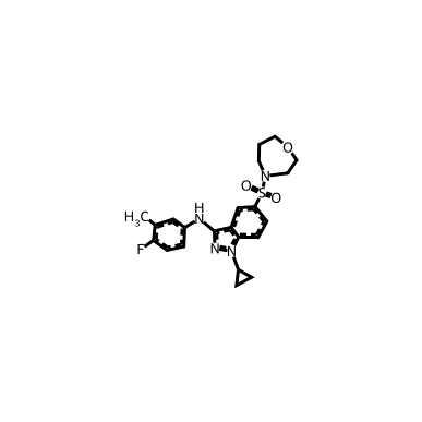 Cc1cc(Nc2nn(C3CC3)c3ccc(S(=O)(=O)N4CCCOCC4)cc23)ccc1F